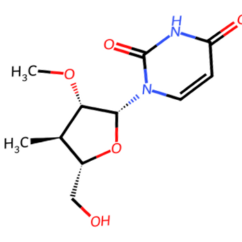 CO[C@H]1[C@H](C)[C@@H](CO)O[C@H]1n1ccc(=O)[nH]c1=O